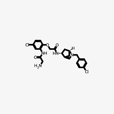 NCC(=O)Nc1cc(Cl)ccc1OCC(=O)N[C@@H]1C[C@@H]2CC1=CN2Cc1ccc(Cl)cc1